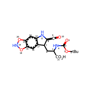 CC(C)(C)OC(=O)NC(CC1C(=C=O)Nc2cc3c(cc21)ONO3)C(=O)O